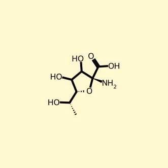 C[C@H](O)[C@H]1O[C@@](N)(C(=O)O)C(O)C1O